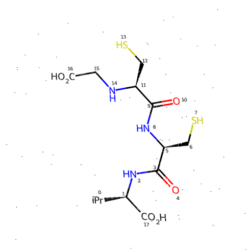 CC(C)[C@@H](NC(=O)[C@H](CS)NC(=O)[C@H](CS)NCC(=O)O)C(=O)O